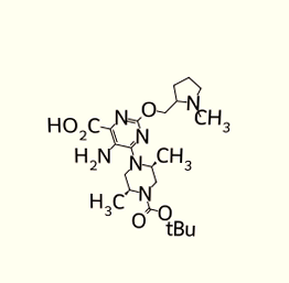 C[C@H]1CN(c2nc(OCC3CCCN3C)nc(C(=O)O)c2N)[C@@H](C)CN1C(=O)OC(C)(C)C